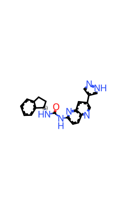 O=C(Nc1ccc2ncc(-c3cn[nH]c3)cc2n1)N[C@H]1CCc2ccccc21